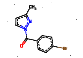 Cc1ccn(C(=O)c2ccc(Br)cc2)n1